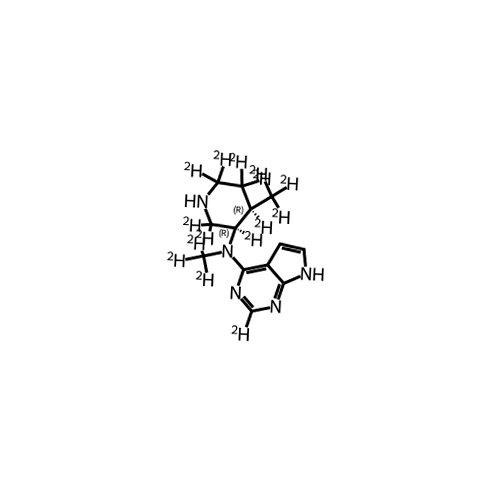 [2H]c1nc(N(C([2H])([2H])[2H])[C@@]2([2H])C([2H])([2H])NC([2H])([2H])C([2H])([2H])[C@@]2([2H])C([2H])([2H])[2H])c2cc[nH]c2n1